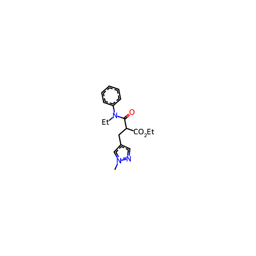 CCOC(=O)C(Cc1cnn(C)c1)C(=O)N(CC)c1ccccc1